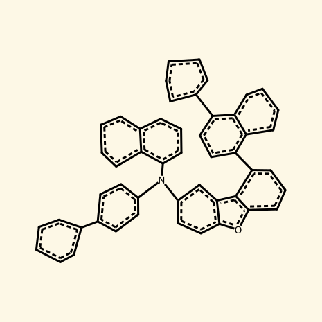 c1ccc(-c2ccc(N(c3ccc4oc5cccc(-c6ccc(-c7ccccc7)c7ccccc67)c5c4c3)c3cccc4ccccc34)cc2)cc1